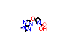 Cn1cnc2nc(O[C@@H]3CCN(C(=O)O)C3)cnc21